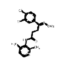 CO/N=C(\CCC(=O)Nc1c(C)ccnc1C)c1ccc(Cl)c(Cl)c1